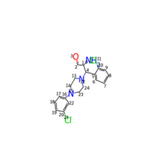 NC(C=O)C(c1ccccc1Cl)N1CCN(c2cccc(Cl)c2)CC1